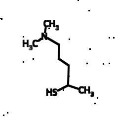 CC(S)CCCN(C)C